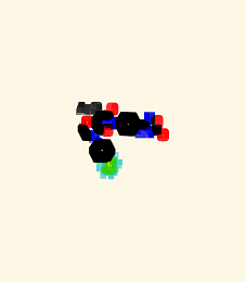 CC(=O)O[C@@H](C(=O)Nc1ccc(-c2noc(=O)[nH]2)cc1)C1OCCN(c2ccc(S(F)(F)(F)(F)F)cc2)C1=O